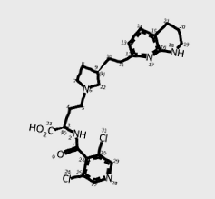 O=C(N[C@H](CCN1CC[C@@H](CCc2ccc3c(n2)NCCC3)C1)C(=O)O)c1c(Cl)cncc1Cl